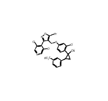 CC(C)c1onc(-c2c(Cl)cncc2Cl)c1COc1ccc(C2(C#N)CC2c2cccc(C(=O)O)c2)c(Cl)c1